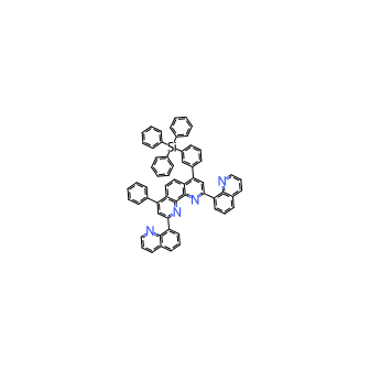 c1ccc(-c2cc(-c3cccc4cccnc34)nc3c2ccc2c(-c4cccc([Si](c5ccccc5)(c5ccccc5)c5ccccc5)c4)cc(-c4cccc5cccnc45)nc23)cc1